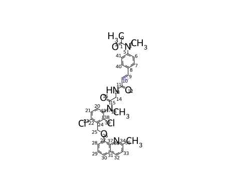 CC(=O)N(C)c1ccc(/C=C/C(=O)NCC(=O)N(C)c2ccc(Cl)c(COc3cccc4ccc(C)nc34)c2Cl)cc1